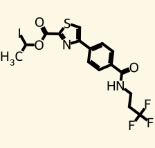 CC(I)OC(=O)c1nc(-c2ccc(C(=O)NCCC(F)(F)F)cc2)cs1